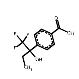 CCC(O)(c1ccc(C(=O)O)cc1)C(F)(F)F